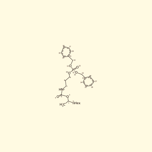 CCCCCCC(C)OC(=O)NCCCOP(=O)(OCc1ccccc1)OCc1ccccc1